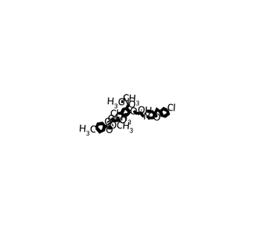 Cc1ccc(S(=O)(=O)OC(=O)C(C)(C)Oc2cc(OC[C@H](O)CN3CCC4(CC3)Cc3cc(Cl)ccc3O4)c(C(=O)N(C)C)cc2Cl)cc1